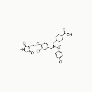 C[C@@H](c1ccc(Cl)cc1)N(Cc1ccc(OCCN2C(=O)CN(C)C2=O)c(Cl)c1)CC1CCC(C(=O)O)CC1